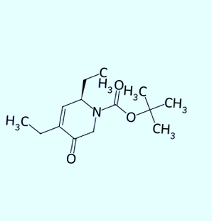 CCC1=C[C@@H](CC)N(C(=O)OC(C)(C)C)CC1=O